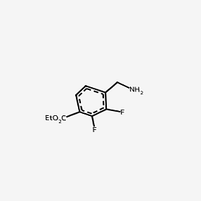 CCOC(=O)c1ccc(CN)c(F)c1F